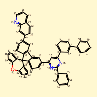 c1ccc(-c2cccc(-c3cc(-c4ccc5c(c4)-c4cc(-c6ccc7cccnc7c6)ccc4C54c5ccccc5Oc5ccccc54)nc(-c4ccccc4)n3)c2)cc1